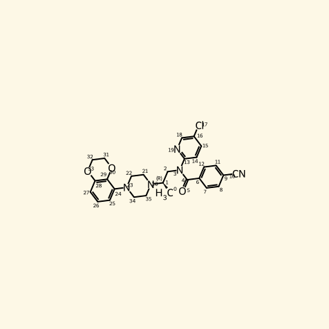 C[C@H](CN(C(=O)c1ccc(C#N)cc1)c1ccc(Cl)cn1)N1CCN(c2cccc3c2OCCO3)CC1